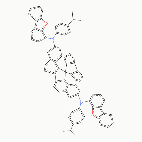 CC(C)c1ccc(N(c2ccc3c4c(ccc3c2)-c2ccc3cc(N(c5ccc(C(C)C)cc5)c5cccc6c5oc5ccccc56)ccc3c2C42c3ccccc3-c3ccccc32)c2cccc3c2oc2ccccc23)cc1